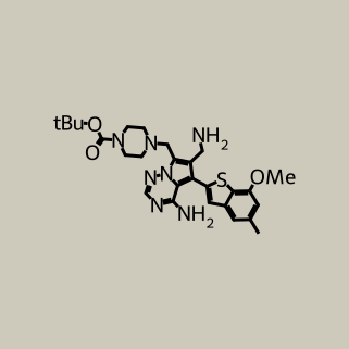 COc1cc(C)cc2cc(-c3c(CN)c(CN4CCN(C(=O)OC(C)(C)C)CC4)n4ncnc(N)c34)sc12